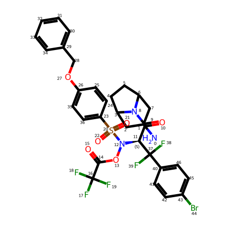 NC1CC2CCC(C1)N2C(=O)[C@H](N(OC(=O)C(F)(F)F)S(=O)(=O)c1ccc(OCc2ccccc2)cc1)C(F)(F)c1ccc(Br)cc1